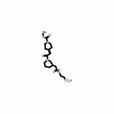 CC(C)(C)OC(=O)N1CCC(=CC(=O)N2CCCC(CC(=O)NCCC(=O)O)C2)CC1